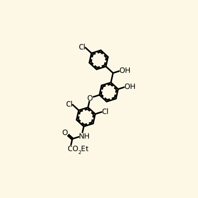 CCOC(=O)C(=O)Nc1cc(Cl)c(Oc2ccc(O)c(C(O)c3ccc(Cl)cc3)c2)c(Cl)c1